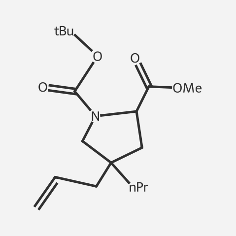 C=CCC1(CCC)CC(C(=O)OC)N(C(=O)OC(C)(C)C)C1